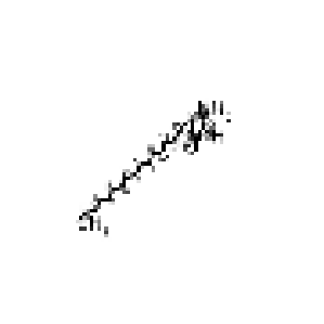 CCCCCCC=CCCCCCCCCN(CC(N)=O)C(=O)O